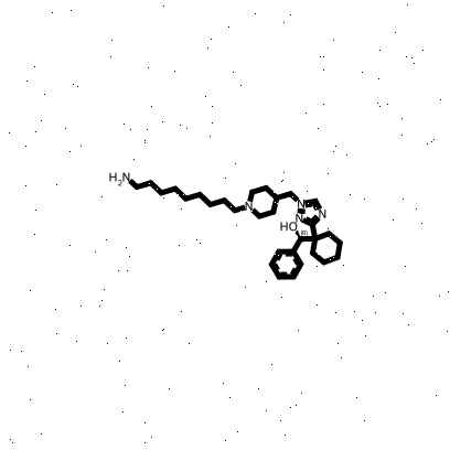 NCCCCCCCCCN1CCC(Cn2cnc(C3([C@H](O)c4ccccc4)CCCCC3)n2)CC1